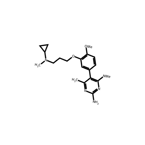 CNc1nc(N)nc(C)c1-c1ccc(OC)c(OCCCN(C)C2CC2)c1